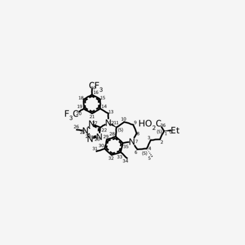 CC[C@@H](CC[C@H](C)CN1CCC[C@H](N(Cc2cc(C(F)(F)F)cc(C(F)(F)F)c2)c2nnn(C)n2)c2cc(C)cc(C)c21)C(=O)O